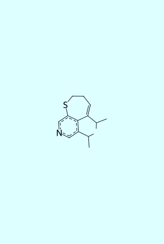 CC(C)C1=CCCSc2cncc(C(C)C)c21